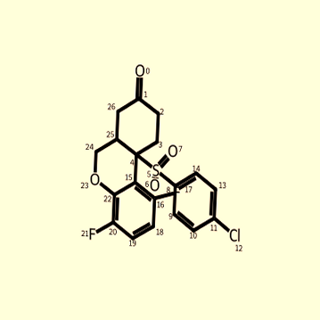 O=C1CCC2(S(=O)(=O)c3ccc(Cl)cc3)c3c(F)ccc(F)c3OCC2C1